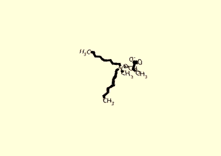 CCC(=O)[O-].CCCCCCCC[N+](C)(CCCCCCCC)OC